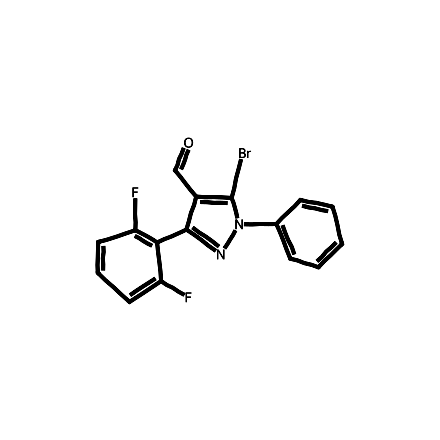 O=Cc1c(-c2c(F)cccc2F)nn(-c2ccccc2)c1Br